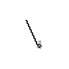 CCCCCCCCCCCCCCCCCc1nnn[nH]1